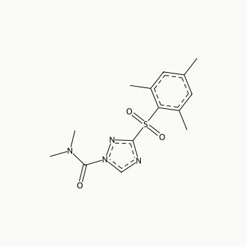 Cc1cc(C)c(S(=O)(=O)c2ncn(C(=O)N(C)C)n2)c(C)c1